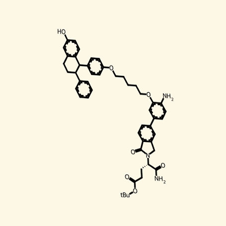 CC(C)(C)OC(=O)CC[C@@H](C(N)=O)N1Cc2cc(-c3ccc(N)c(OCCCCCOc4ccc(C5c6ccc(O)cc6CCC5c5ccccc5)cc4)c3)ccc2C1=O